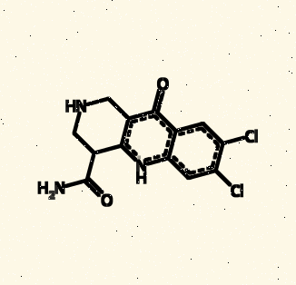 NC(=O)C1CNCc2c1[nH]c1cc(Cl)c(Cl)cc1c2=O